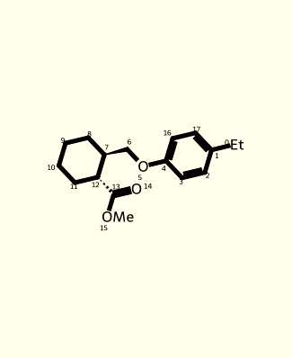 CCc1ccc(OC[C@@H]2CCCC[C@H]2C(=O)OC)cc1